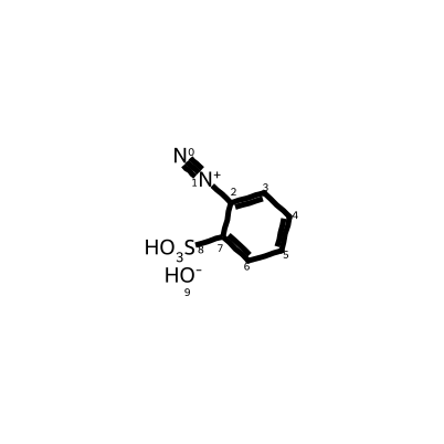 N#[N+]c1ccccc1S(=O)(=O)O.[OH-]